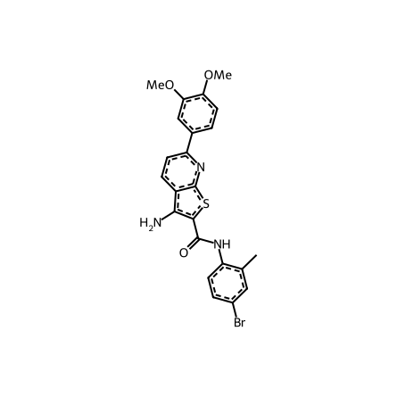 COc1ccc(-c2ccc3c(N)c(C(=O)Nc4ccc(Br)cc4C)sc3n2)cc1OC